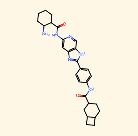 NC1CCCCC1C(=O)Nc1cc2nc(-c3ccc(NC(=O)C4CCC5CCC5C4)cc3)[nH]c2cn1